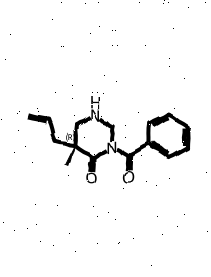 C=CC[C@]1(C)CNCN(C(=O)c2ccccc2)C1=O